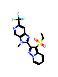 CCS(=O)(=O)c1c(-c2nc3cc(C(F)(F)F)ncc3n2C)nn2ccccc12